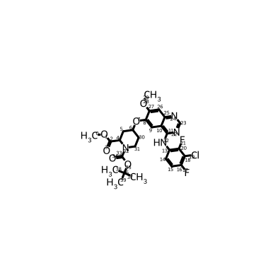 COC(=O)C1CC(Oc2cc3c(Nc4ccc(F)c(Cl)c4F)ncnc3cc2OC)CCN1C(=O)OC(C)(C)C